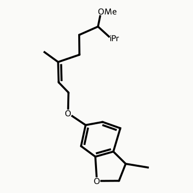 COC(CCC(C)=CCOc1ccc2c(c1)OCC2C)C(C)C